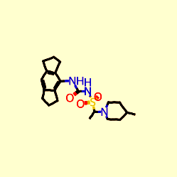 CC1CCN(C(C)S(=O)(=O)NC(=O)Nc2c3c(cc4c2CCC4)CCC3)CC1